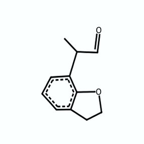 CC(C=O)c1cccc2c1OCC2